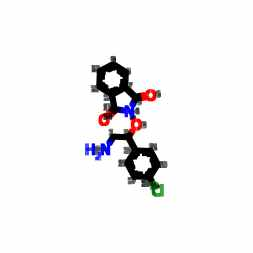 NCC(ON1C(=O)c2ccccc2C1=O)c1ccc(Cl)cc1